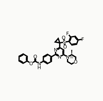 C[C@H]1COCCN1c1cc(C2(S(=O)(=O)c3ccc(F)cc3F)CC2)nc(-c2ccc(NC(=O)Oc3ccccc3)cc2)n1